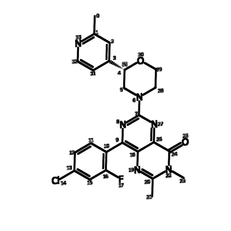 Cc1cc([C@H]2CN(c3nc(-c4ccc(Cl)cc4F)c4nc(C)n(C)c(=O)c4n3)CCO2)ccn1